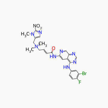 Cn1c(C[N+](C)(C)C/C=C/C(=O)Nc2cc3c(Nc4ccc(F)c(Br)c4)ncnc3cn2)cnc1[N+](=O)[O-]